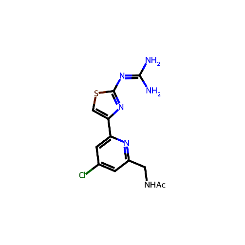 CC(=O)NCc1cc(Cl)cc(-c2csc(N=C(N)N)n2)n1